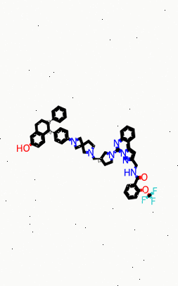 O=C(NCc1cc2c3ccccc3nc(N3CC[C@@H](CN4CCC5(C4)CN(c4ccc([C@@H]6c7ccc(O)cc7CC[C@@H]6c6ccccc6)cc4)C5)C3)n2n1)c1ccccc1OC(F)(F)F